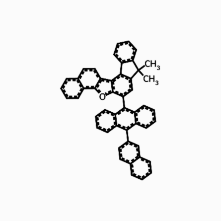 CC1(C)c2ccccc2-c2c1cc(-c1c3ccccc3c(-c3ccc4ccccc4c3)c3ccccc13)c1oc3c4ccccc4ccc3c21